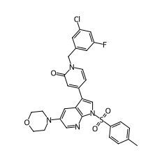 Cc1ccc(S(=O)(=O)n2cc(-c3ccn(Cc4cc(F)cc(Cl)c4)c(=O)c3)c3cc(N4CCOCC4)cnc32)cc1